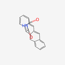 O=c1[nH]c(=O)c2c3cc4ccccc4cc3cc3c1cccc32